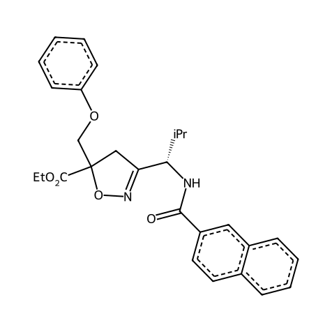 CCOC(=O)C1(COc2ccccc2)CC([C@@H](NC(=O)c2ccc3ccccc3c2)C(C)C)=NO1